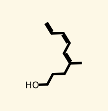 C=C/C=C\C=C(/C)CCCO